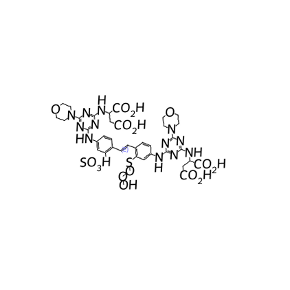 O=C(O)CC(Nc1nc(Nc2ccc(/C=C/c3ccc(Nc4nc(NC(CC(=O)O)C(=O)O)nc(N5CCOCC5)n4)cc3S(=O)(=O)O)c(SOOO)c2)nc(N2CCOCC2)n1)C(=O)O